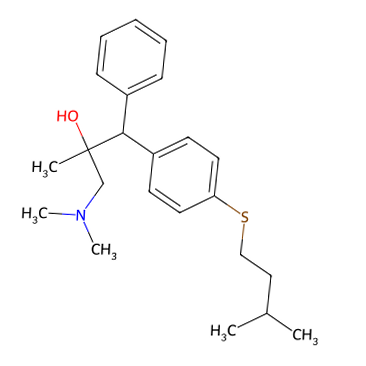 CC(C)CCSc1ccc(C(c2ccccc2)C(C)(O)CN(C)C)cc1